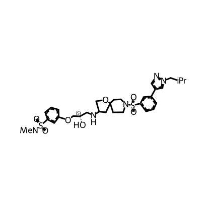 CNS(=O)(=O)c1cccc(OC[C@@H](O)CNC2COC3(CCN(S(=O)(=O)c4cccc(-c5cnn(CC(C)C)c5)c4)CC3)C2)c1